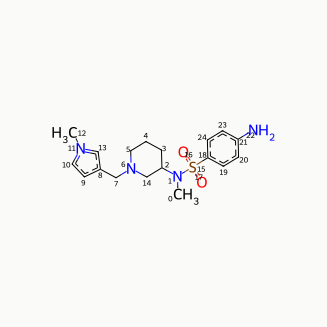 CN(C1CCCN(Cc2ccn(C)c2)C1)S(=O)(=O)c1ccc(N)cc1